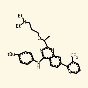 CCN(CC)CCCOC(C)c1nc(Nc2ccc(C(C)(C)C)cc2)c2ccc(-c3ncccc3C(F)(F)F)cc2n1